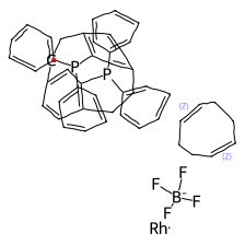 C1=C\CC/C=C\CC/1.F[B-](F)(F)F.[Rh].c1ccc(P(c2ccccc2)c2cc3ccc2CCc2ccc(c(P(c4ccccc4)c4ccccc4)c2)CC3)cc1